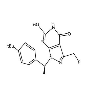 C[C@@H](c1ccc(C(C)(C)C)cc1)n1nc(CF)c2c(=O)[nH]c(O)nc21